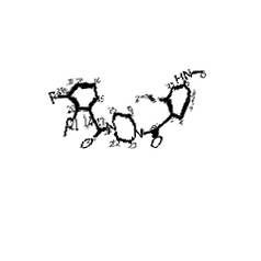 CNc1ccc(C(=O)N2CCN(C(=O)c3cccc(F)c3F)CC2)cc1